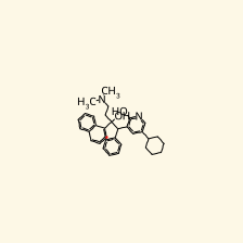 CN(C)CCC(O)(C1=C=C=Cc2ccccc21)C(c1ccccc1)c1cc(C2CCCCC2)cnc1O